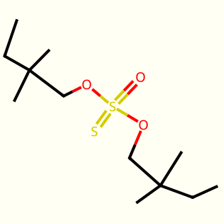 CCC(C)(C)COS(=O)(=S)OCC(C)(C)CC